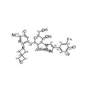 COC1C(Sc2cc(Cl)c(C#N)nc2N2CC3(COC3)C2)OC(CO)C(O)C1n1cc(-c2cc(F)c(Cl)c(F)c2)nn1